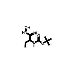 CCC(NC(=O)OC(C)(C)C)C(=N)NO